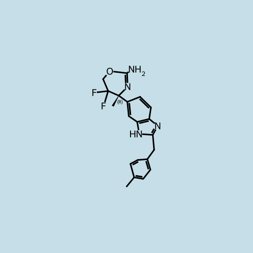 Cc1ccc(Cc2nc3ccc([C@@]4(C)N=C(N)OCC4(F)F)cc3[nH]2)cc1